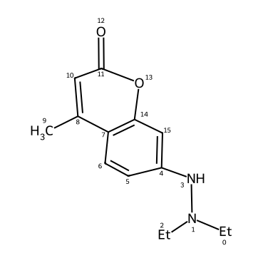 CCN(CC)Nc1ccc2c(C)cc(=O)oc2c1